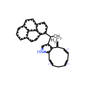 C=C1/C=C\C=C/C/C=C\c2[nH]cc(C(C)c3ccc4ccc5cccc6ccc3c4c56)c21